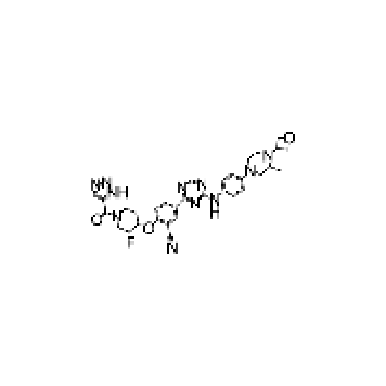 CC1CN(c2ccc(Nc3ncnc(-c4ccc(O[C@H]5CCN(C(=O)c6cnn[nH]6)C[C@H]5F)c(C#N)c4)n3)cc2)CCN1C1COC1